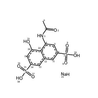 CC(=O)Nc1cc(S(=O)(=O)O)cc2cc(S(=O)(=O)O)cc(O)c12.[NaH]